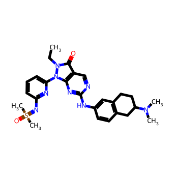 CCn1c(=O)c2cnc(Nc3ccc4c(c3)CCC(N(C)C)C4)nc2n1-c1cccc(N=S(C)(C)=O)n1